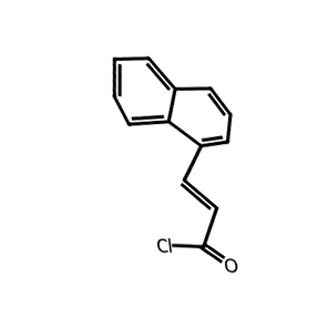 O=C(Cl)C=Cc1cccc2ccccc12